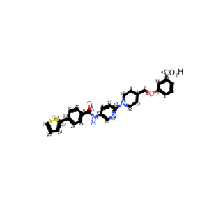 O=C(O)c1cccc(OCC2CCN(c3ccc(NC(=O)c4ccc(-c5cccs5)cc4)cn3)CC2)c1